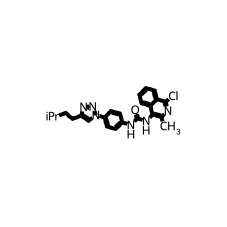 Cc1nc(Cl)c2ccccc2c1NC(=O)Nc1ccc(-n2cc(CCC(C)C)nn2)cc1